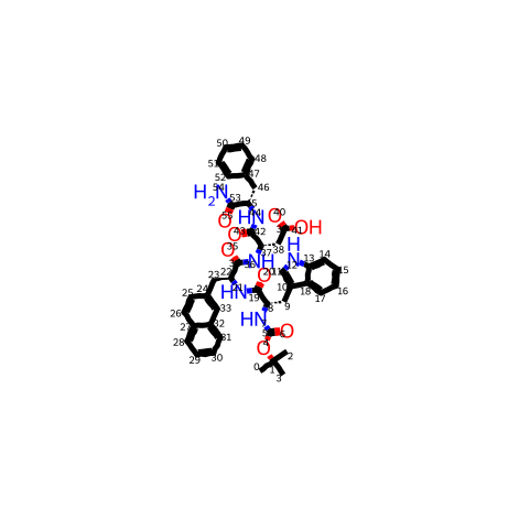 CC(C)(C)OC(=O)N[C@@H](Cc1c[nH]c2ccccc12)C(=O)N[C@@H](Cc1ccc2ccccc2c1)C(=O)N[C@@H](CC(=O)O)C(=O)N[C@@H](Cc1ccccc1)C(N)=O